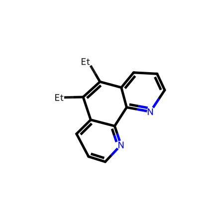 CCc1c(CC)c2cccnc2c2ncccc12